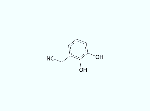 N#CCc1cccc(O)c1O